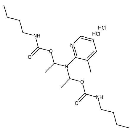 CCCCNC(=O)OC(C)N(c1ncccc1C)C(C)OC(=O)NCCCC.Cl.Cl